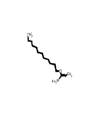 CC=C(N)OCCCCCCCCCCCC